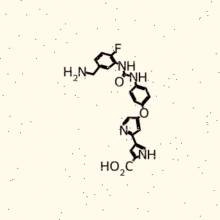 NCc1ccc(F)c(NC(=O)Nc2ccc(Oc3ccnc(-c4c[nH]c(C(=O)O)c4)c3)cc2)c1